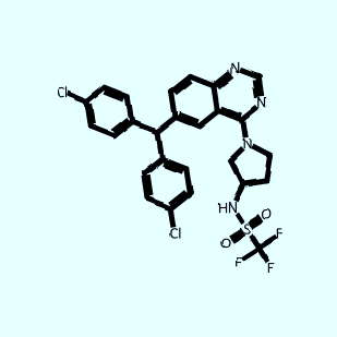 O=S(=O)(NC1CCN(c2ncnc3ccc(C(c4ccc(Cl)cc4)c4ccc(Cl)cc4)cc23)C1)C(F)(F)F